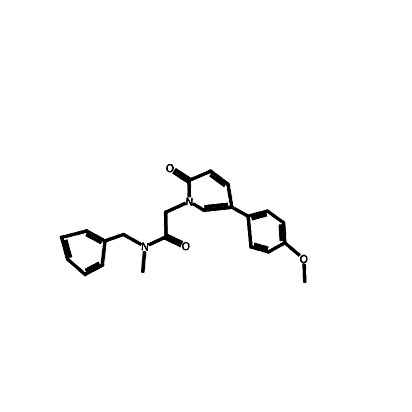 COc1ccc(-c2ccc(=O)n(CC(=O)N(C)Cc3ccccc3)c2)cc1